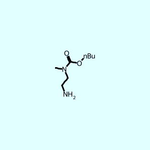 CCCCOC(=O)N(C)CCN